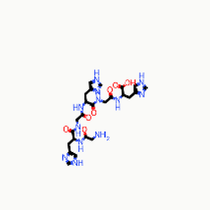 NCC(=O)NC(Cc1c[nH]cn1)C(=O)NCC(=O)NC(Cc1c[nH]cn1)C(=O)NCC(=O)NC(Cc1c[nH]cn1)C(=O)O